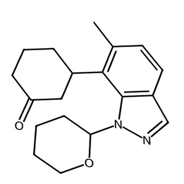 Cc1ccc2cnn(C3CCCCO3)c2c1C1CCCC(=O)C1